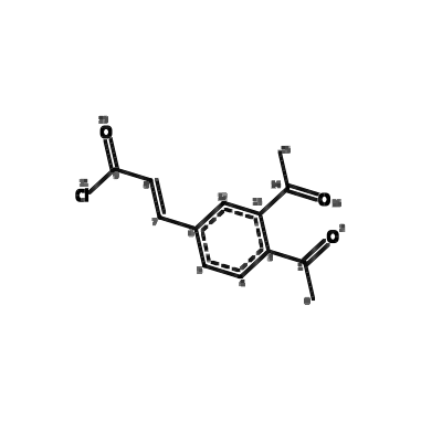 CC(=O)c1ccc(C=CC(=O)Cl)cc1C(C)=O